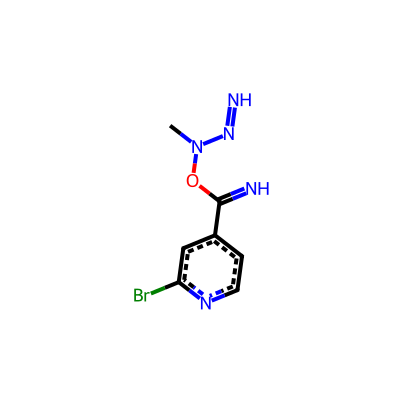 CN(N=N)OC(=N)c1ccnc(Br)c1